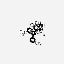 CN1C(=N)N[C@](C)(c2cc(-c3cccc(C#N)c3)cs2)[C@@H](c2ccc(C(F)(F)F)cn2)C1=O